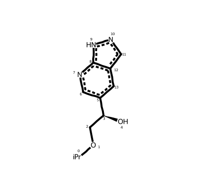 CC(C)OC[C@H](O)c1cnc2[nH]ncc2c1